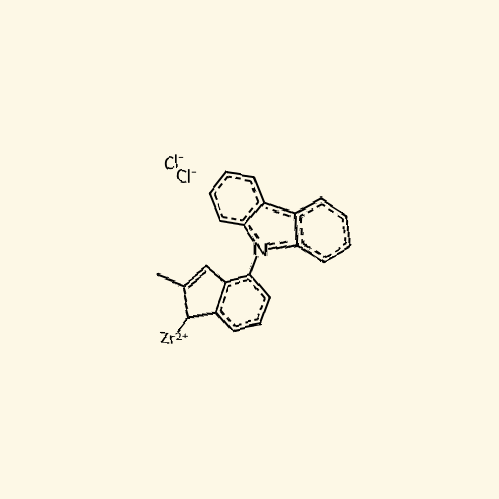 CC1=Cc2c(cccc2-n2c3ccccc3c3ccccc32)[CH]1[Zr+2].[Cl-].[Cl-]